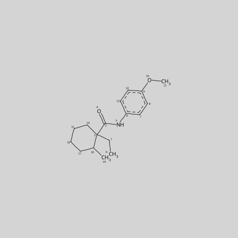 CCC1(C(=O)Nc2ccc(OC)cc2)CCCCC1C